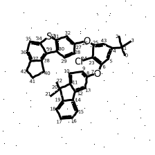 CC(C)(C)c1cc(Oc2ccc3c(c2)-c2ccccc2C3(C)C)c(Cl)c(Oc2ccc3c(c2)sc2ccc4c(c23)CCC4)c1